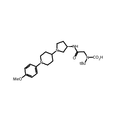 COc1ccc(N2CCC(N3CC[C@@H](NC(=O)CN(C(=O)O)C(C)(C)C)C3)CC2)cc1